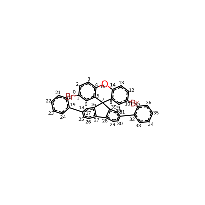 Brc1ccc2c(c1)C1(c3cc(Br)ccc3O2)c2cc(-c3ccccc3)ccc2-c2ccc(-c3ccccc3)cc21